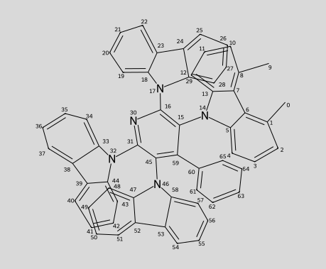 Cc1cccc2c1c1c(C)cccc1n2-c1c(-n2c3ccccc3c3ccccc32)nc(-n2c3ccccc3c3ccccc32)c(-n2c3ccccc3c3ccccc32)c1-c1ccccc1